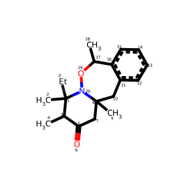 CCC1(C)C(C)C(=O)CC2(C)Cc3ccccc3C(C)ON21